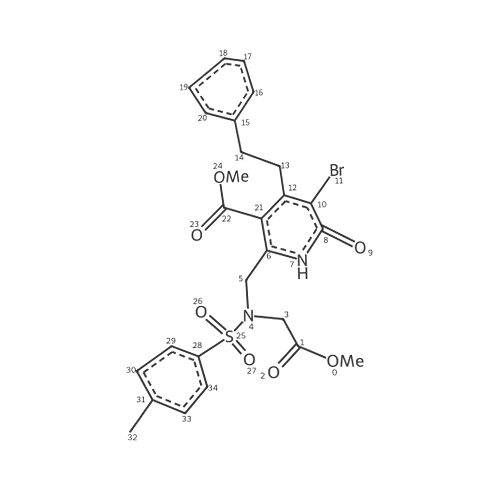 COC(=O)CN(Cc1[nH]c(=O)c(Br)c(CCc2ccccc2)c1C(=O)OC)S(=O)(=O)c1ccc(C)cc1